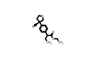 CCOC(=O)C(CC)c1ccc(C2(C#N)CCOC2)cc1